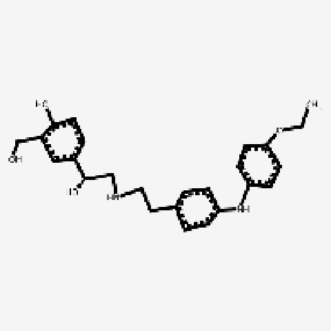 CCOc1ccc(Nc2ccc(CCNC[C@@H](O)c3ccc(O)c(CO)c3)cc2)cc1